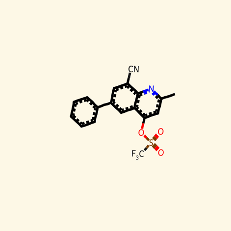 Cc1cc(OS(=O)(=O)C(F)(F)F)c2cc(-c3ccccc3)cc(C#N)c2n1